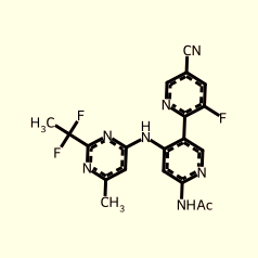 CC(=O)Nc1cc(Nc2cc(C)nc(C(C)(F)F)n2)c(-c2ncc(C#N)cc2F)cn1